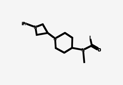 CC(C)N1CC(N2CCC(N(C)C(=O)I)CC2)C1